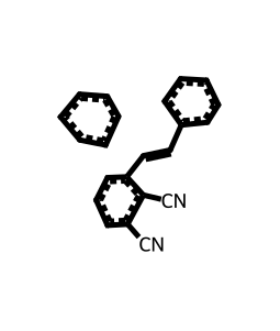 N#Cc1cccc(C=Cc2ccccc2)c1C#N.c1ccccc1